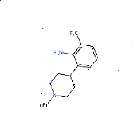 CCCN1CCC(c2cccc(C(F)(F)F)c2N)CC1